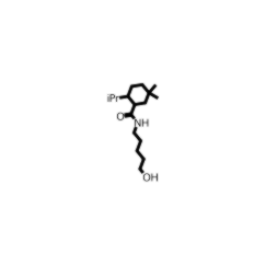 CC(C)C1CCC(C)(C)CC1C(=O)NCCCCCO